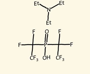 CCN(CC)CC.O=P(O)(C(F)(F)C(F)(F)F)C(F)(F)C(F)(F)F